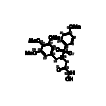 COc1ccc(S(=O)(=O)N(CC(=O)NO)Cc2cc(OC)c(OC)c(OC)c2)cc1